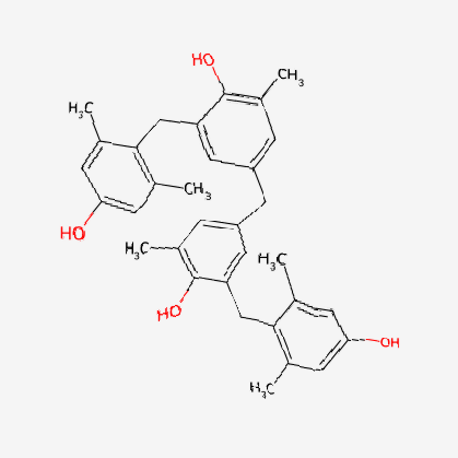 Cc1cc(Cc2cc(C)c(O)c(Cc3c(C)cc(O)cc3C)c2)cc(Cc2c(C)cc(O)cc2C)c1O